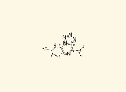 CC(C)c1nc2ccc(F)cc2n2nnnc12